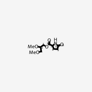 COCC(COC(=O)C1CCC(=O)N1)OC